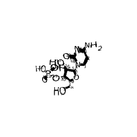 Nc1ccn([C@@H]2O[C@H](CO)[C@H](OP(=O)(O)O)C2O)c(=O)n1